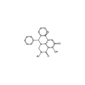 CC(C)N1CN(C(c2ccccc2)c2ccccc2)n2c(CF)cc(=O)c(O)c2C1=O